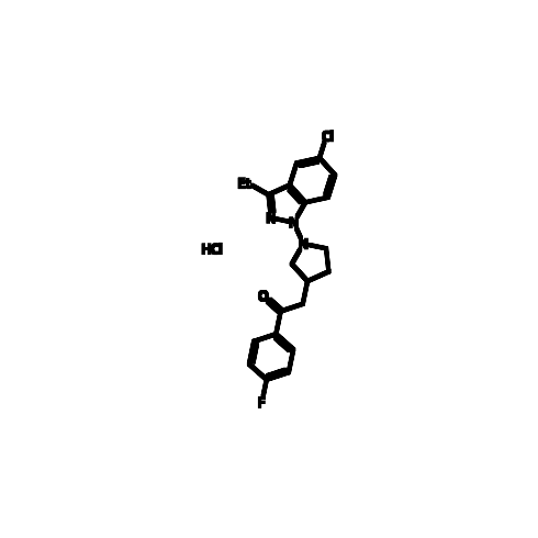 CCc1nn(N2CCC(CC(=O)c3ccc(F)cc3)C2)c2ccc(Cl)cc12.Cl